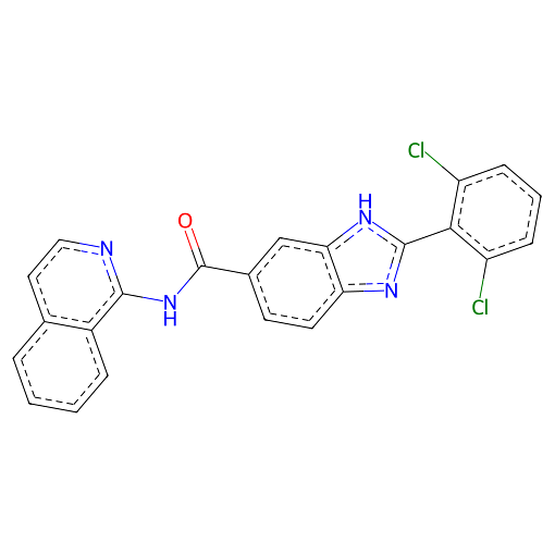 O=C(Nc1nccc2ccccc12)c1ccc2nc(-c3c(Cl)cccc3Cl)[nH]c2c1